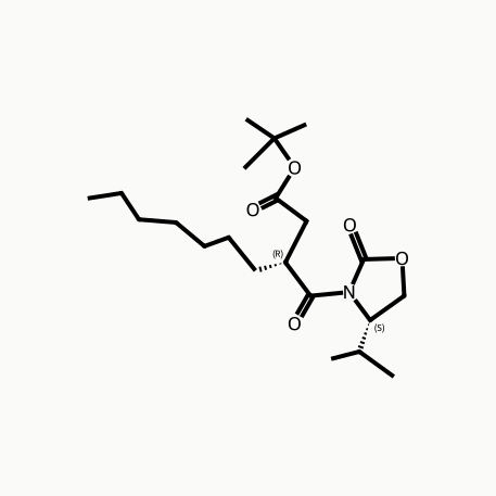 CCCCCCC[C@H](CC(=O)OC(C)(C)C)C(=O)N1C(=O)OC[C@@H]1C(C)C